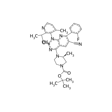 Cc1ccnc(C(C)C)c1-n1c(=O)nc(N2CCN(C(=O)OC(C)(C)C)C[C@@H]2C)c2cc(C#N)c(-c3ccccc3F)nc21